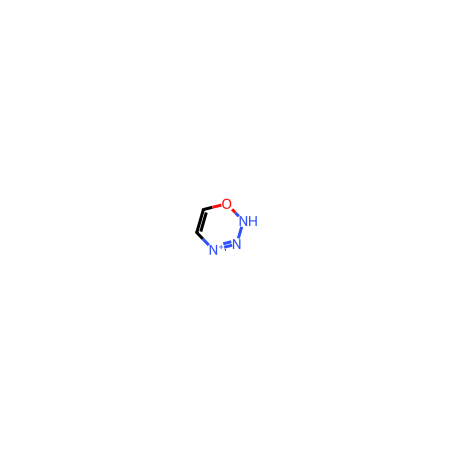 C1=CONN=[N+]1